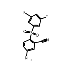 N#Cc1cc(N)ccc1S(=O)(=O)c1cc(F)cc(F)c1